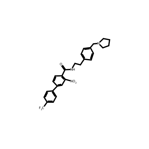 O=C(NCCc1ccc(CN2CCCC2)cc1)c1ccc(-c2ccc(C(F)(F)F)cc2)cc1[N+](=O)[O-]